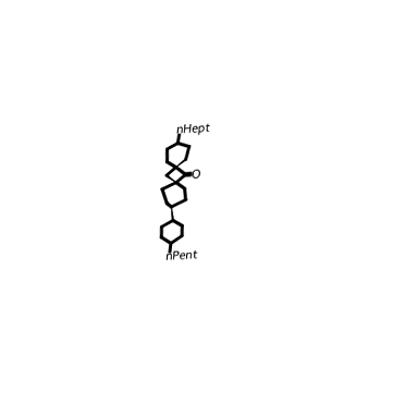 CCCCCCCC1CC[C@]2(CC1)C[C@@]1(CC[C@H](C3CCC(CCCCC)CC3)CC1)C2=O